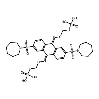 O=P(O)(O)OCON=C1c2ccc(S(=O)(=O)N3CCCCCC3)cc2C(=NOCOP(=O)(O)O)c2ccc(S(=O)(=O)N3CCCCCC3)cc21